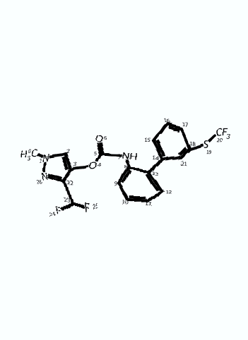 Cn1cc(OC(=O)Nc2ccccc2-c2cccc(SC(F)(F)F)c2)c(C(F)F)n1